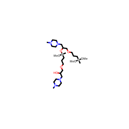 CO[Si](C)(CCCOCC(CN1CCN(C)CC1)O[Si](C)(CCCOCC(O)CN1CCN(C)CC1)OC)OC